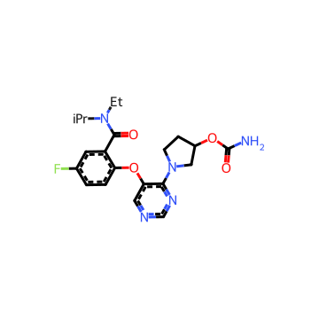 CCN(C(=O)c1cc(F)ccc1Oc1cncnc1N1CCC(OC(N)=O)C1)C(C)C